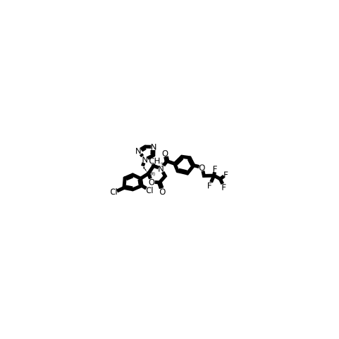 CC1N(C(=O)c2ccc(OCC(F)(F)C(F)F)cc2)CC(=O)O[C@@]1(Cn1cncn1)c1ccc(Cl)cc1Cl